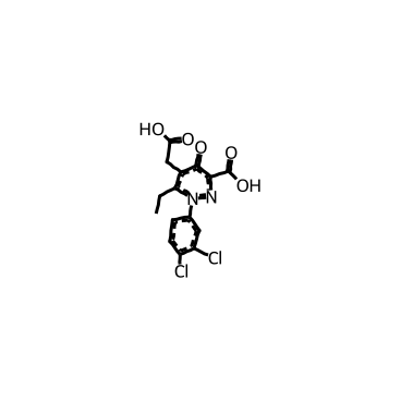 CCc1c(CC(=O)O)c(=O)c(C(=O)O)nn1-c1ccc(Cl)c(Cl)c1